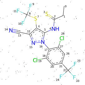 CCC(=S)Nc1c(SC(F)(F)F)c(C#N)nn1-c1c(Cl)cc(C(F)(F)F)cc1Cl